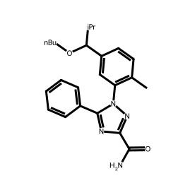 CCCCOC(c1ccc(C)c(-n2nc(C(N)=O)nc2-c2ccccc2)c1)C(C)C